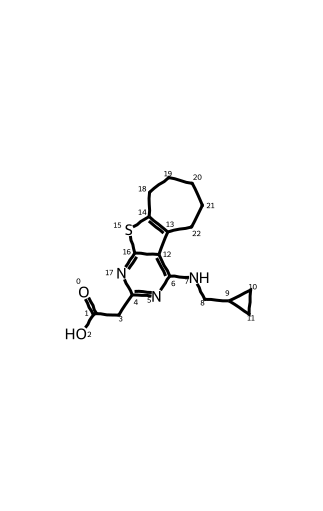 O=C(O)Cc1nc(NCC2CC2)c2c3c(sc2n1)CCCCC3